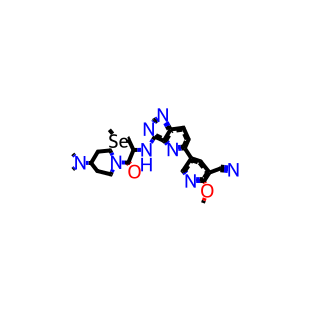 COc1ncc(-c2ccc3ncnc(NC(C[Se]C)C(=O)N4CCC(N(C)C)CC4)c3n2)cc1C#N